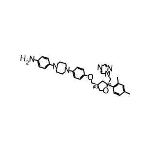 Cc1ccc([C@@]2(Cn3cncn3)C[C@H](COc3ccc(N4CCN(c5ccc(N)cc5)CC4)cc3)CO2)c(C)c1